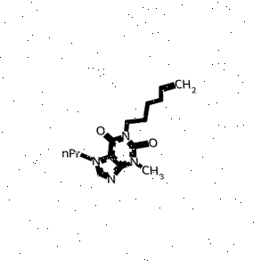 C=CCCCCn1c(=O)c2c(ncn2CCC)n(C)c1=O